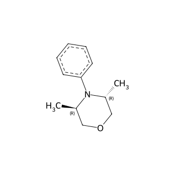 C[C@@H]1COC[C@@H](C)N1c1ccccc1